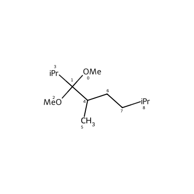 COC(OC)(C(C)C)C(C)CCC(C)C